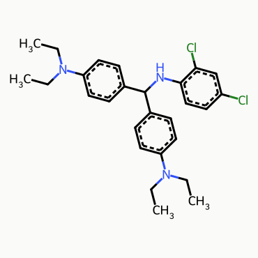 CCN(CC)c1ccc(C(Nc2ccc(Cl)cc2Cl)c2ccc(N(CC)CC)cc2)cc1